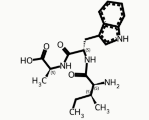 CC[C@H](C)[C@H](N)C(=O)N[C@@H](Cc1c[nH]c2ccccc12)C(=O)N[C@@H](C)C(=O)O